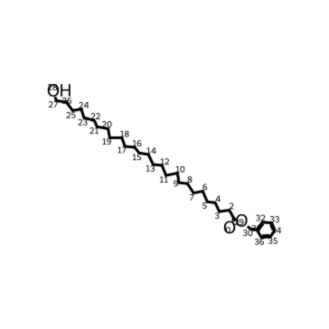 O=C(CCCCCCCCCCCCCCCCCCCCCCCCCCO)OCc1ccccc1